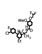 CCc1cc(-c2ccc(F)c(Cl)c2)nc(C(C)(C)CNC(=O)c2ccc(OCC(F)F)c(OC)c2)c1